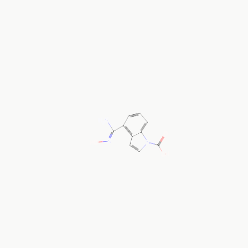 NC(=NO)c1cccc2c1ccn2C(=O)O